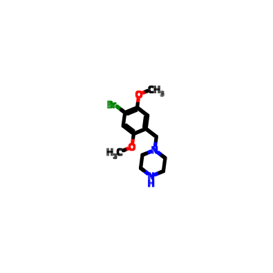 COc1cc(CN2CCNCC2)c(OC)cc1Br